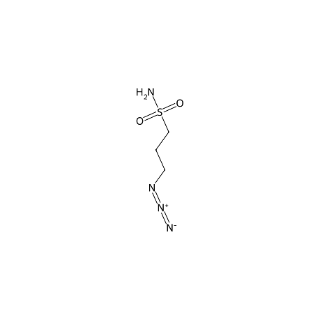 [N-]=[N+]=NCCCS(N)(=O)=O